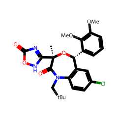 COc1cccc([C@H]2O[C@](C)(c3nc(=O)o[nH]3)C(=O)N(CC(C)(C)C)c3ccc(Cl)cc32)c1OC